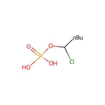 CCCCC(Cl)OP(=O)(O)O